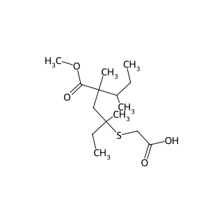 CCC(C)C(C)(CC(C)(CC)SCC(=O)O)C(=O)OC